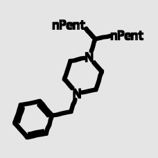 CCCCCC(CCCCC)N1CCN(Cc2ccccc2)CC1